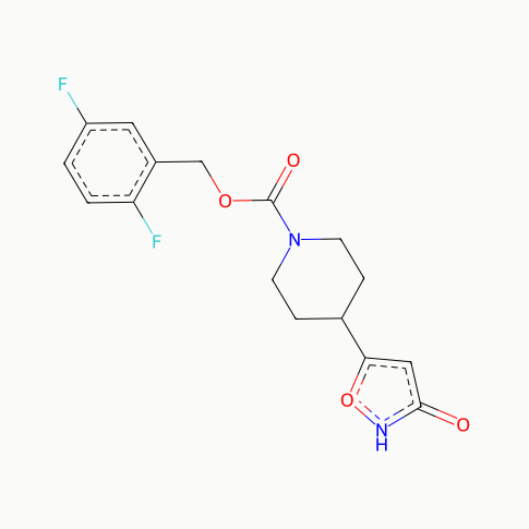 O=C(OCc1cc(F)ccc1F)N1CCC(c2cc(=O)[nH]o2)CC1